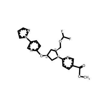 COC(=O)c1ccc(N2C[C@@H](Oc3ccc(-n4cccn4)cn3)C[C@H]2COC(F)F)nc1